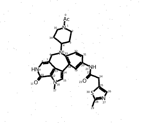 CC(=O)N1CCC(N2Cc3c[nH]c(=O)c4c3c(cn4C)-c3cc(NC(=O)Cc4cnc(C)s4)ccc32)CC1